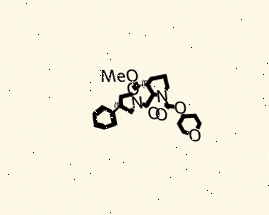 COC(=O)[C@@H]1CCCN(C(=O)OC2CCOCC2)C1C(=O)N1CC[C@H](c2ccccc2)C1